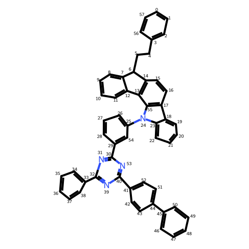 c1ccc(CCC2c3ccccc3-c3c2ccc2c4ccccc4n(-c4cccc(-c5nc(-c6ccccc6)nc(-c6ccc(-c7ccccc7)cc6)n5)c4)c32)cc1